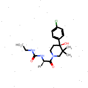 CC(C)[C@@H](NC(=O)NCC(=O)O)C(=O)N1CC[C@](O)(c2ccc(Cl)cc2)C(C)(C)C1